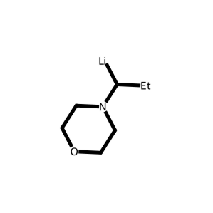 [Li][CH](CC)N1CCOCC1